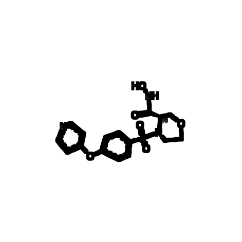 O=C(NO)[C@H]1COCCN1S(=O)(=O)c1ccc(Oc2ccncc2)cc1